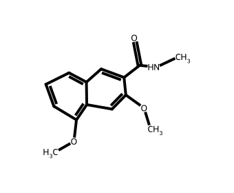 CNC(=O)c1cc2cccc(OC)c2cc1OC